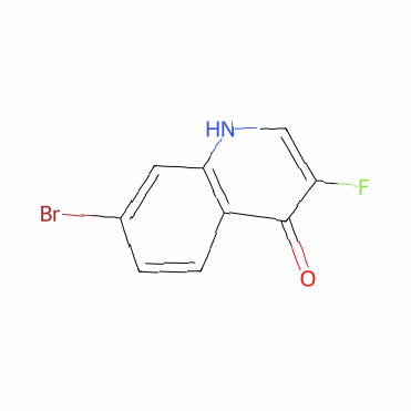 O=c1c(F)c[nH]c2cc(Br)ccc12